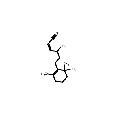 CC1=C(CCC(C)/C=C\C#N)C(C)(C)CCC1